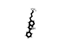 CCCCCc1ccc2[nH]c(-c3ccccc3)cc2c1